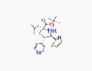 CC(C)C[C@@]1(C(=O)OC(C)(C)C)C[C@@H](c2ccncc2)[C@H](c2nccs2)N1